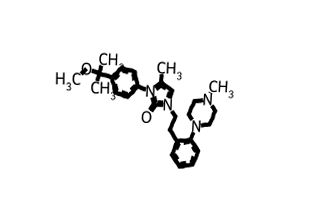 COC(C)(C)c1ccc(-n2c(C)cn(CCc3ccccc3N3CCN(C)CC3)c2=O)cc1